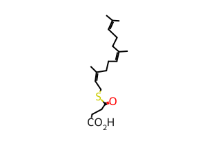 CC(C)=CCCC(C)=CCCC(C)=CCSC(=O)CCC(=O)O